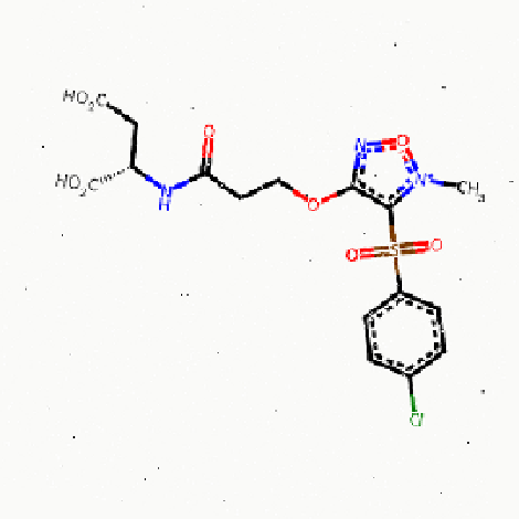 C[n+]1onc(OCCC(=O)N[C@@H](CC(=O)O)C(=O)O)c1S(=O)(=O)c1ccc(Cl)cc1